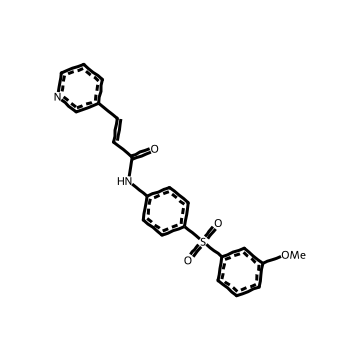 COc1cccc(S(=O)(=O)c2ccc(NC(=O)/C=C/c3cccnc3)cc2)c1